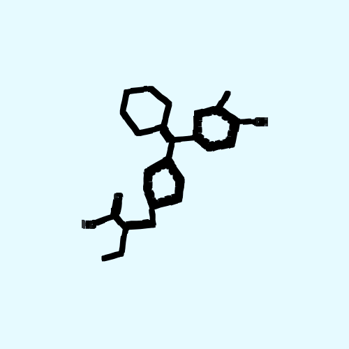 CCC(=Cc1ccc(C(=C2CCCCC2)c2ccc(O)c(C)c2)cc1)C(=O)O